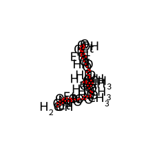 C=C1OCc2c(cc3n(c2=O)Cc2c-3nc3cc(F)c(OCNC(=O)OCc4ccc(NC(=O)[C@H](C)NC(=O)[C@H](C)NC(=O)CN(CCN5C(=O)C=CC5=O)CC(=O)N[C@@H](C)C(=O)N[C@@H](C)C(=O)Nc5ccc(COC(=O)NCOc6cc7c(CC)c8c(nc7cc6F)-c6cc7c(c(=O)n6C8)COC(=O)[C@]7(O)CC)cc5)cc4)cc3c2CC)[C@@]1(O)CC